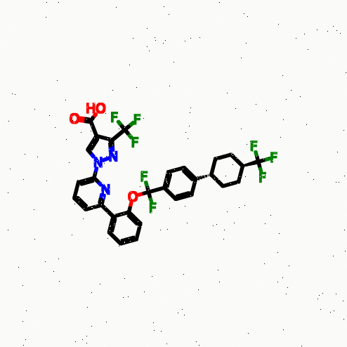 O=C(O)c1cn(-c2cccc(-c3ccccc3OC(F)(F)c3ccc([C@H]4CC[C@H](C(F)(F)F)CC4)cc3)n2)nc1C(F)(F)F